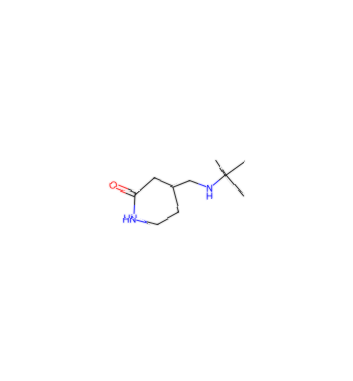 CC(C)(C)NCC1CCNC(=O)C1